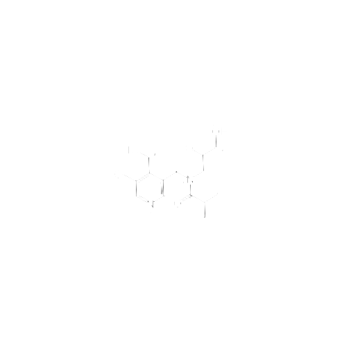 CC(C)C(=O)N(Cc1cncc(Cl)c1CO)CC(O)CO